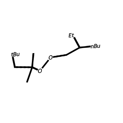 CCCCC(CC)COOC(C)(C)CC(C)(C)C